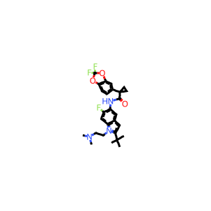 CN(C)CCn1c(C(C)(C)C)cc2cc(NC(=O)C3(c4ccc5c(c4)OC(F)(F)O5)CC3)c(F)cc21